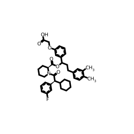 Cc1ccc(CCC(OC(=O)[C@@H]2CCCCN2C(=O)[C@H](c2cccc(F)c2)C2CCCCC2)c2cccc(OCC(=O)O)c2)cc1C